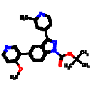 COc1ccncc1-c1ccc2c(c1)c(-c1ccnc(C)c1)nn2C(=O)OC(C)(C)C